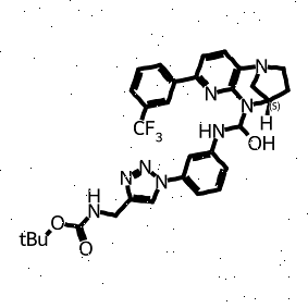 CC(C)(C)OC(=O)NCc1cn(-c2cccc(NC(O)N3c4nc(-c5cccc(C(F)(F)F)c5)ccc4N4CC[C@H]3C4)c2)nn1